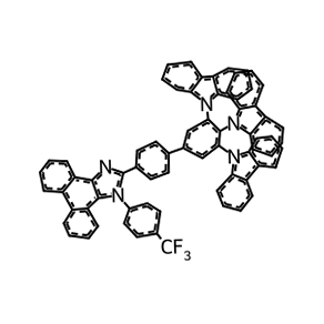 FC(F)(F)c1ccc(-n2c(-c3ccc(-c4cc(-n5c6ccccc6c6ccccc65)c(-n5c6ccccc6c6ccccc65)c(-n5c6ccccc6c6ccccc65)c4)cc3)nc3c4ccccc4c4ccccc4c32)cc1